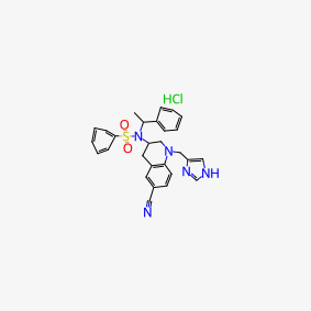 CC(c1ccccc1)N(C1Cc2cc(C#N)ccc2N(Cc2c[nH]cn2)C1)S(=O)(=O)c1ccccc1.Cl